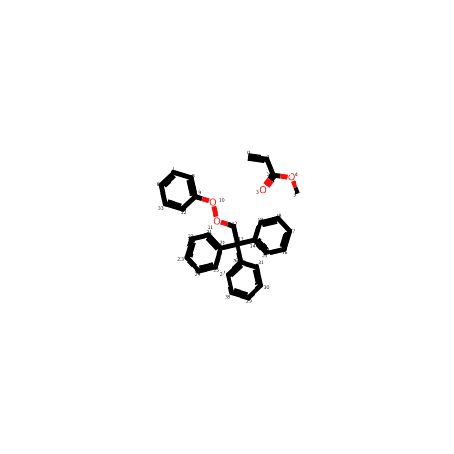 C=CC(=O)OC.c1ccc(OOCC(c2ccccc2)(c2ccccc2)c2ccccc2)cc1